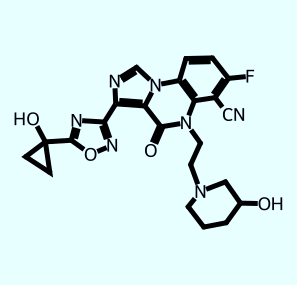 N#Cc1c(F)ccc2c1n(CCN1CCCC(O)C1)c(=O)c1c(-c3noc(C4(O)CC4)n3)ncn12